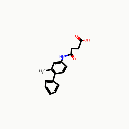 Cc1cc(NC(=O)CCC(=O)O)ccc1-c1ccccc1